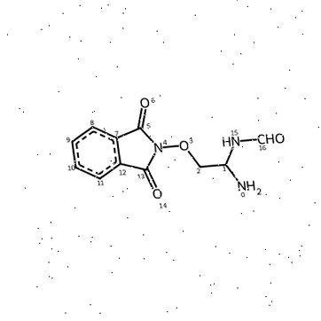 NC(CON1C(=O)c2ccccc2C1=O)NC=O